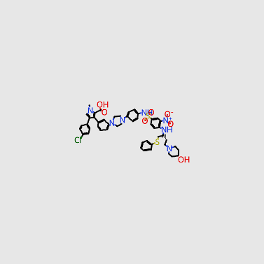 Cn1cc(-c2ccc(Cl)cc2)c(-c2cccc(N3CCN(c4ccc(NS(=O)(=O)c5ccc(N[C@H](CCN6CCC(O)CC6)CSc6ccccc6)c([N+](=O)[O-])c5)cc4)CC3)c2)c1C(=O)O